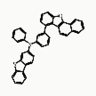 c1ccc(N(c2cccc(-c3cccc4oc5c6ccccc6ccc5c34)c2)c2ccc3c(c2)sc2ccccc23)cc1